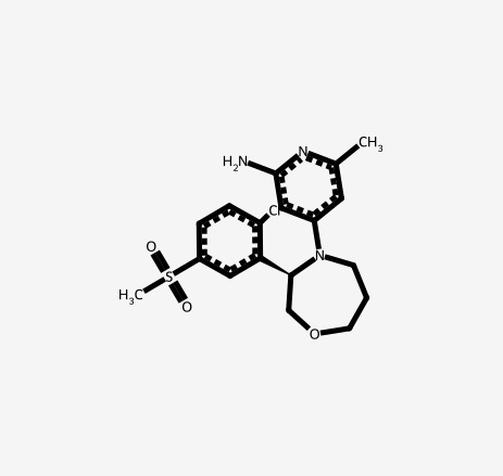 Cc1cc(N2CCCOC[C@H]2c2cc(S(C)(=O)=O)ccc2Cl)cc(N)n1